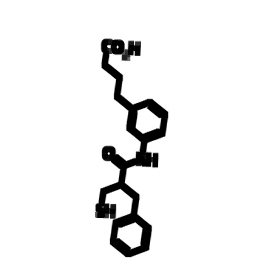 O=C(O)CCCc1cccc(NC(=O)C(CS)Cc2ccccc2)c1